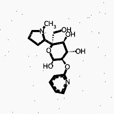 CN1CCCC1[C@]1(CO)O[C@@H](O)[C@H](Oc2ccccn2)[C@@H](O)[C@@H]1O